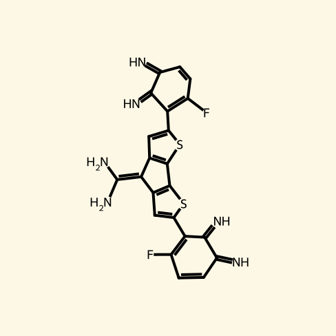 N=C1C=CC(F)=C(c2cc3c(s2)-c2sc(C4=C(F)C=CC(=N)C4=N)cc2C3=C(N)N)C1=N